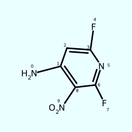 Nc1cc(F)nc(F)c1[N+](=O)[O-]